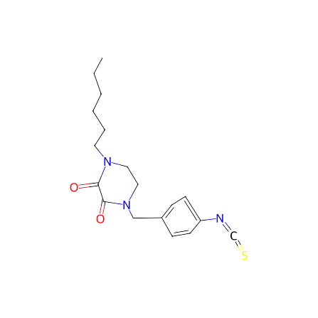 CCCCCCN1CCN(Cc2ccc(N=C=S)cc2)C(=O)C1=O